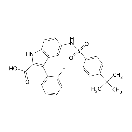 CC(C)(C)c1ccc(S(=O)(=O)Nc2ccc3[nH]c(C(=O)O)c(-c4ccccc4F)c3c2)cc1